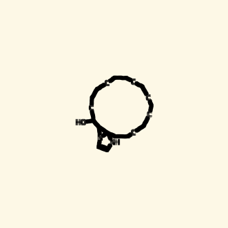 OC1CCCCCCCCCCCCCCCC23NC=CN2C13